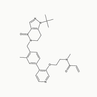 C=CC(=O)N(C)CCOc1cnccc1-c1ccc(CN2CCc3c(cnn3C(C)(C)C)C2=O)c(C)c1